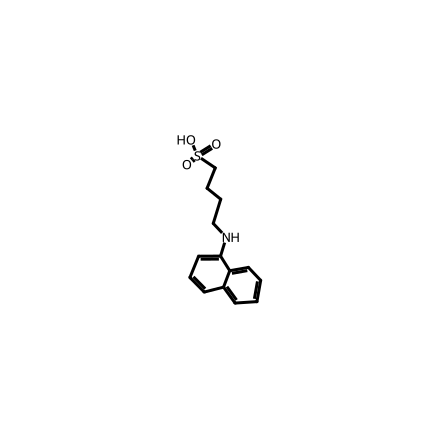 O=S(=O)(O)CCCCNc1cccc2ccccc12